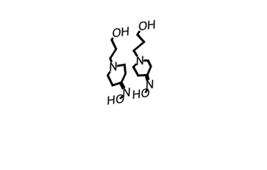 OCCCN1CCC(=NO)CC1.OCCCN1CCC(=NO)CC1